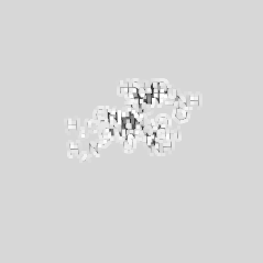 CC[C@H](C)[C@H](N)C(=O)N[C@@H](CCCCN)C(=O)N[C@@H](Cc1c[nH]cn1)C(=O)N[C@@H](CCC(=O)O)C(=O)N1CCC[C@H]1C(=O)N[C@@H](CS)C(=O)N[C@@H](Cc1c[nH]c2ccccc12)C(=O)O